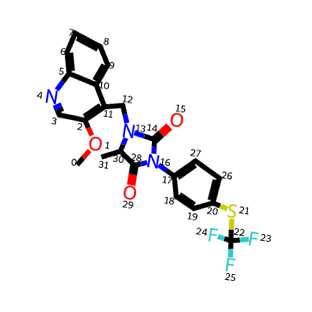 COc1cnc2ccccc2c1CN1C(=O)N(c2ccc(SC(F)(F)F)cc2)C(=O)C1C